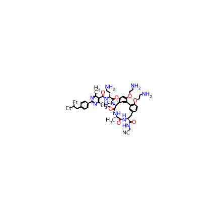 CCC(CC)Cc1ccc(-c2nc(C)c(C(=O)N[C@@H](CCN)C(=O)N(C)[C@@H]3C(=O)N[C@@H](C)C(=O)N[C@H](C(=O)NCC#N)Cc4ccc(OCCN)c(c4)-c4cc3ccc4OCCN)c(C)n2)cc1